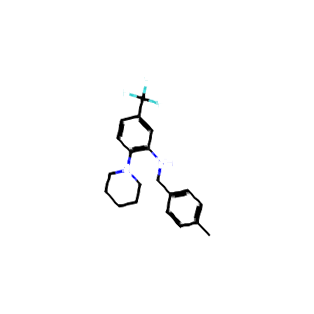 Cc1ccc(CNc2cc(C(F)(F)F)ccc2N2CCCCC2)cc1